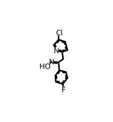 ON=C(Cc1ccc(Cl)cn1)c1ccc(F)cc1